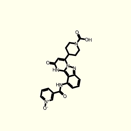 O=C(Nc1cccc2nn3c(C4CCN(C(=O)O)CC4)cc(=O)[nH]c3c12)c1ccc[n+]([O-])c1